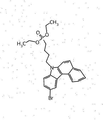 CCOP(=O)(CCCCn1c2ccc(Br)cc2c2c3ccccc3ccc21)OCC